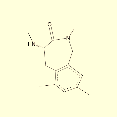 CN[C@H]1Cc2c(C)cc(C)cc2CN(C)C1=O